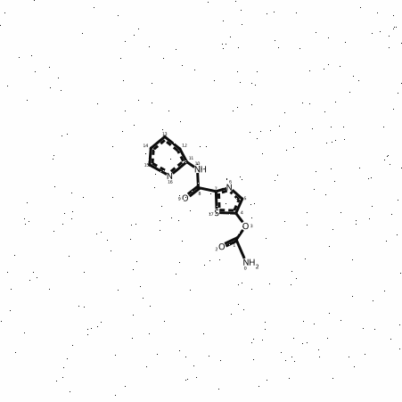 NC(=O)Oc1cnc(C(=O)Nc2ccccn2)s1